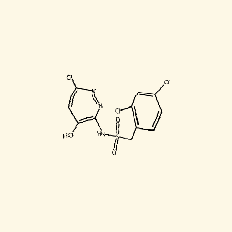 O=S(=O)(Cc1ccc(Cl)cc1Cl)Nc1nnc(Cl)cc1O